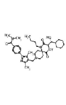 CCCCN1C(=O)[C@@H]([C@H](O)C2CCCCC2)NC(=O)C12CCN(Cc1c(C)nn(-c3ccc(C(=O)N(C)C)cc3)c1C)CC2